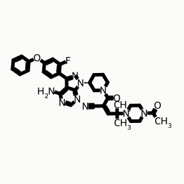 CC(=O)N1CCN(C(C)(C)/C=C(/C#N)C(=O)N2CCC[C@@H](n3nc(-c4ccc(Oc5ccccc5)cc4F)c4c(N)ncnc43)C2)CC1